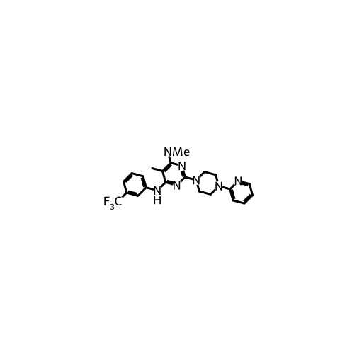 CNc1nc(N2CCN(c3ccccn3)CC2)nc(Nc2cccc(C(F)(F)F)c2)c1C